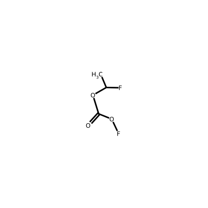 CC(F)OC(=O)OF